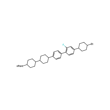 CCCCCC1CCC(C2CCC(c3ccc(-c4ccc(C5CCC(CC)CC5)cc4F)cc3)CC2)CC1